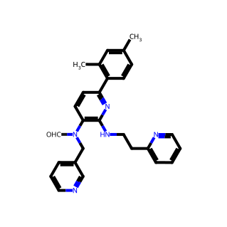 Cc1ccc(-c2ccc(N(C=O)Cc3cccnc3)c(NCCc3ccccn3)n2)c(C)c1